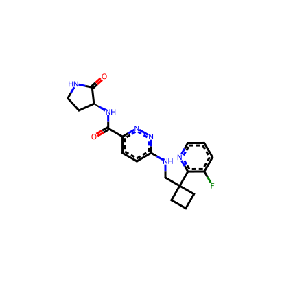 O=C(N[C@H]1CCNC1=O)c1ccc(NCC2(c3ncccc3F)CCC2)nn1